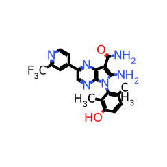 Cc1ccc(O)c(C)c1-n1c(N)c(C(N)=O)c2nc(-c3ccnc(C(F)(F)F)c3)cnc21